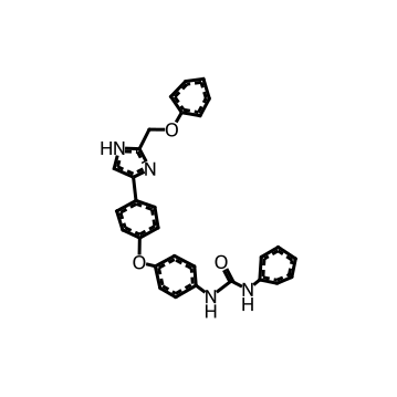 O=C(Nc1ccccc1)Nc1ccc(Oc2ccc(-c3c[nH]c(COc4ccccc4)n3)cc2)cc1